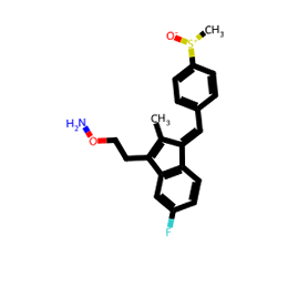 CC1=C(CCON)c2cc(F)ccc2/C1=C/c1ccc([S+](C)[O-])cc1